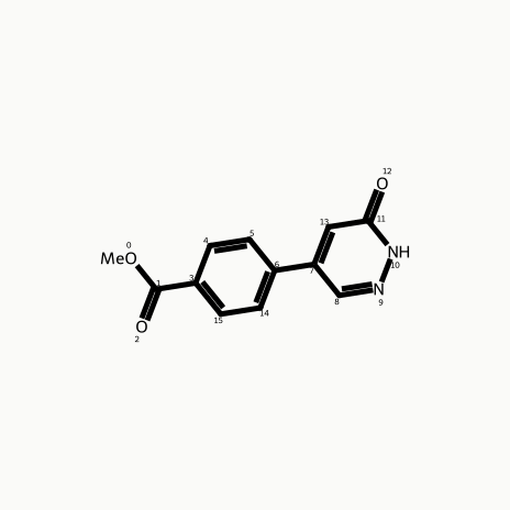 COC(=O)c1ccc(-c2cn[nH]c(=O)c2)cc1